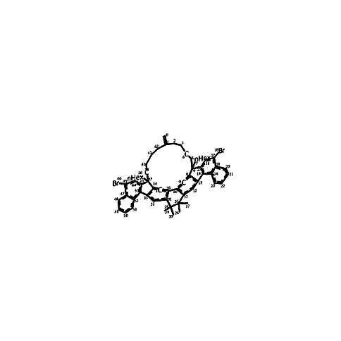 C=C1CCCCC2(CCCCCC)c3cc4c(cc3-c3c2cc(Br)c2ccccc32)C(C)(C)C(C)(C)c2cc3c(cc2-4)C(CCCCCC)(CCCC1)c1cc(Br)c2ccccc2c1-3